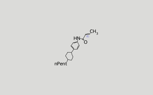 C/C=C/C(=O)Nc1ccc(C2CCC(CCCCC)CC2)cc1